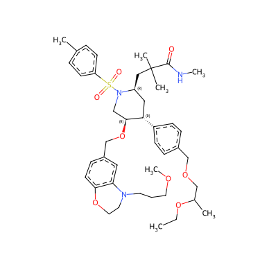 CCOC(C)COCc1ccc([C@H]2C[C@H](CC(C)(C)C(=O)NC)N(S(=O)(=O)c3ccc(C)cc3)C[C@@H]2OCc2ccc3c(c2)N(CCCOC)CCO3)cc1